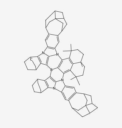 CC1(C)CCC2(C)CCC(C)(C)c3c4c5c(c1c32)-n1c2cc3c(cc2n2c6c(c(c12)B5c1c2c(n5c7cc8c(cc7n-4c15)C1CC4CC5CC8CC45C1)C1CCC2CC1)C1CCC6CC1)C1CC2CC4CC3CC42C1